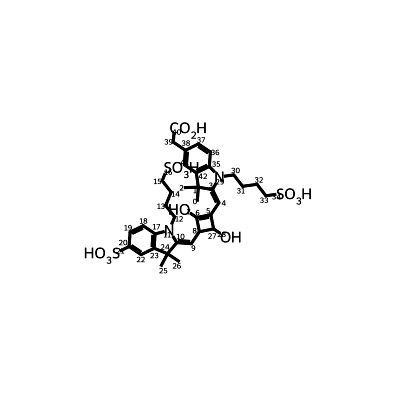 CC1(C)C(=CC2=C(O)C(C=C3N(CCCCS(=O)(=O)O)c4ccc(S(=O)(=O)O)cc4C3(C)C)C2O)N(CCCCS(=O)(=O)O)c2ccc(CC(=O)O)cc21